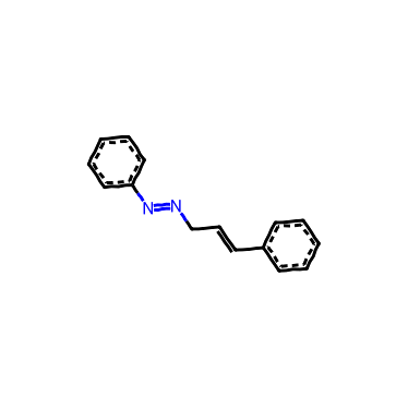 C(=Cc1ccccc1)CN=Nc1ccccc1